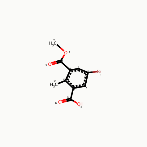 COC(=O)c1cc(Br)cc(C(=O)O)c1C